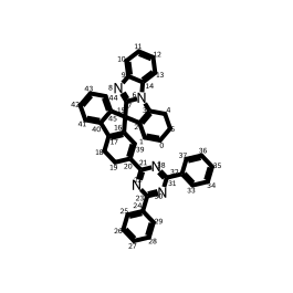 C1=CC2=C(CC1)n1c(nc3ccccc31)C21C2=C(CCC(c3nc(-c4ccccc4)nc(-c4ccccc4)n3)=C2)c2ccccc21